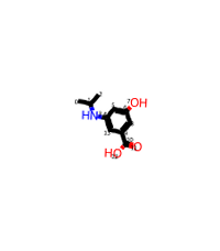 CC(C)Nc1cc(O)cc(C(=O)O)c1